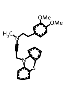 COc1ccc(CCN(C)C#CCN2c3ccccc3Sc3ccccc32)cc1OC